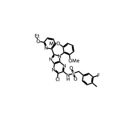 CCOc1cccc(-c2nc3nc(Cl)c(NS(=O)(=O)Cc4ccc(C)c(F)c4)nc3n2-c2c(OC)cccc2OC)n1